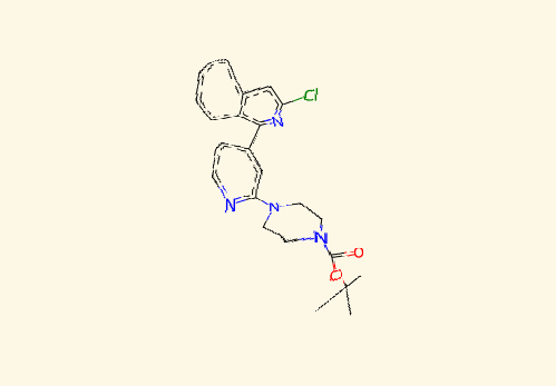 CC(C)(C)OC(=O)N1CCN(c2cc(-c3nc(Cl)cc4ccccc34)ccn2)CC1